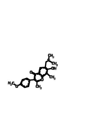 COc1ccc(-c2c(C)oc3c(C)c(O)c(CN(C)C)cc3c2=O)cc1